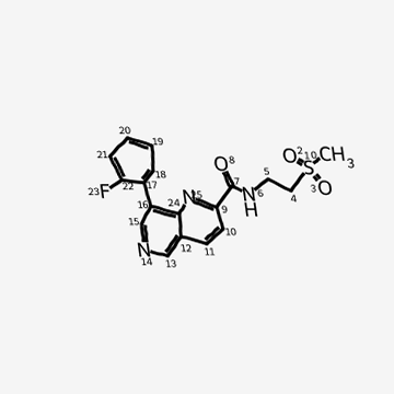 CS(=O)(=O)CCNC(=O)c1ccc2cncc(-c3ccccc3F)c2n1